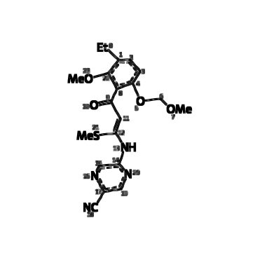 CCc1ccc(OCOC)c(C(=O)/C=C(/Nc2cnc(C#N)cn2)SC)c1OC